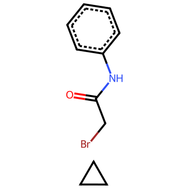 C1CC1.O=C(CBr)Nc1ccccc1